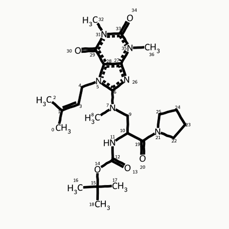 CC(C)=CCn1c(N(C)CC(NC(=O)OC(C)(C)C)C(=O)N2CCCC2)nc2c1c(=O)n(C)c(=O)n2C